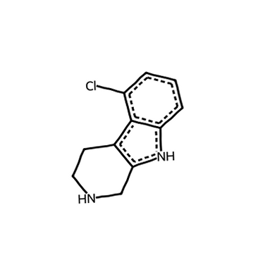 Clc1cccc2[nH]c3c(c12)CCNC3